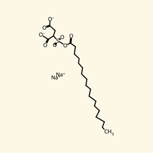 CCCCCCCCCCCCCCCCCC(=O)OS(=O)(=O)C(CC(=O)[O-])C(=O)[O-].[Na+].[Na+]